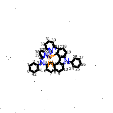 c1ccc(N2c3ccc4ccc5c6c4c3[PH]3(c4c(ccc(c46)n5-c4ccccc4)-c4cccc[n+]43)[n+]3ccccc32)cc1